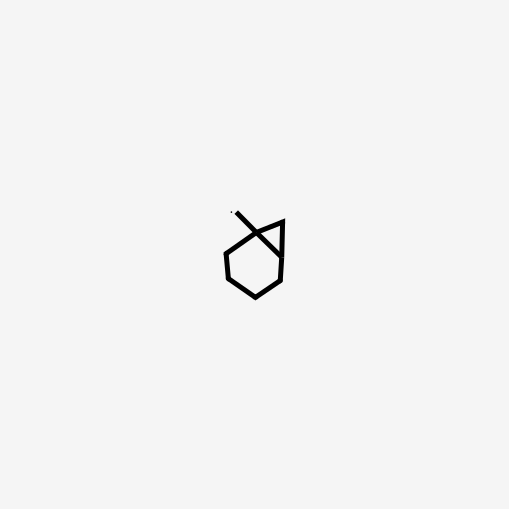 [CH2]C12CCCCC1C2